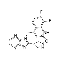 O=c1cc(Cn2c(C3CNC3)nc3nccnc32)c2ccc(F)c(F)c2[nH]1